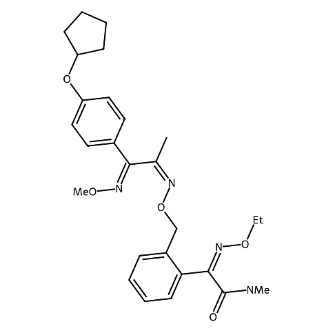 CCON=C(C(=O)NC)c1ccccc1CON=C(C)C(=NOC)c1ccc(OC2CCCC2)cc1